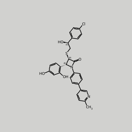 Cc1ccc(-c2ccc(N3C(=O)[C@H](SC[C@@H](O)c4ccc(Cl)cc4)[C@H]3c3ccc(O)cc3O)cc2)cn1